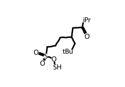 CC(C)C(=O)CC(CCCS(=O)(=O)OS)CC(C)(C)C